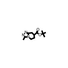 Cc1nnc2n1CCC(C(=O)OC(C)(C)C)C2